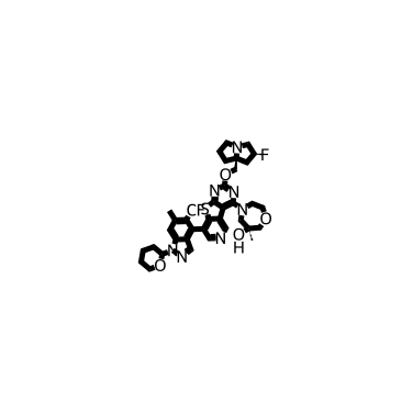 Cc1cc2c(cnn2C2CCCCO2)c(-c2cncc3c2sc2nc(OC[C@@]45CCCN4C[C@H](F)C5)nc(N4CCOC[C@@](C)(O)C4)c23)c1C(F)(F)F